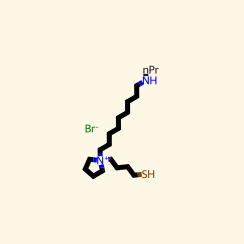 CCCNCCCCCCCCC[N+]1(CCCCS)CCCC1.[Br-]